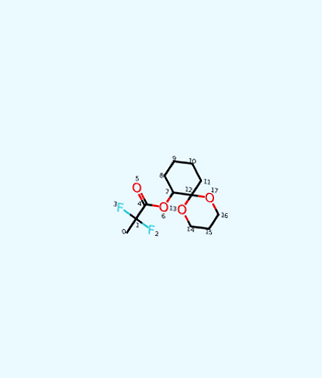 CC(F)(F)C(=O)OC1CCCCC12OCCCO2